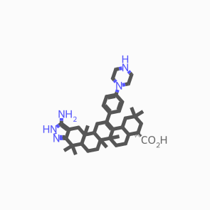 CC1(C)CC2C3=C(c4ccc(N5CCNCC5)cc4)CC4C5(C)Cc6c(n[nH]c6N)C(C)(C)C5CCC4(C)C3(C)CCC2[C@H](C(=O)O)C1